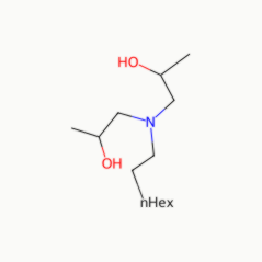 CCCCCCCCN(CC(C)O)CC(C)O